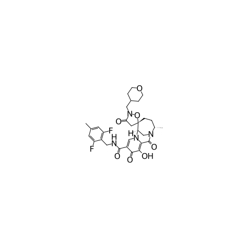 Cc1cc(F)c(CNC(=O)c2cn3c(c(O)c2=O)C(=O)N2C[C@@H]3[C@]3(CC[C@@H]2C)CC(=O)N(CC2CCOCC2)O3)c(F)c1